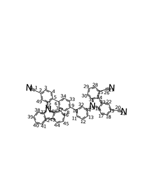 N#Cc1ccc(-c2ccc(-c3cccc(-n4c5ccc(C#N)cc5c5c(C#N)cccc54)c3)cc2)c(-n2c3ccccc3c3ccccc32)c1